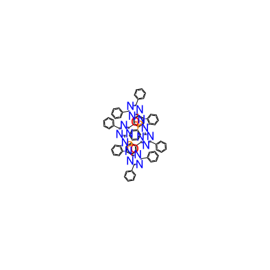 O=P1(c2ccc(P3(=O)N(c4nc(-c5ccccc5)nc(-c5ccccc5)n4)c4ccccc4N3c3nc(-c4ccccc4)nc(-c4ccccc4)n3)cc2)N(c2nc(-c3ccccc3)nc(-c3ccccc3)n2)c2ccccc2N1c1nc(-c2ccccc2)nc(-c2ccccc2)n1